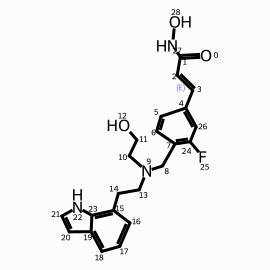 O=C(/C=C/c1ccc(CN(CCO)CCc2cccc3cc[nH]c23)c(F)c1)NO